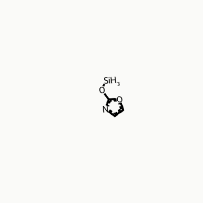 [SiH3]Oc1ncco1